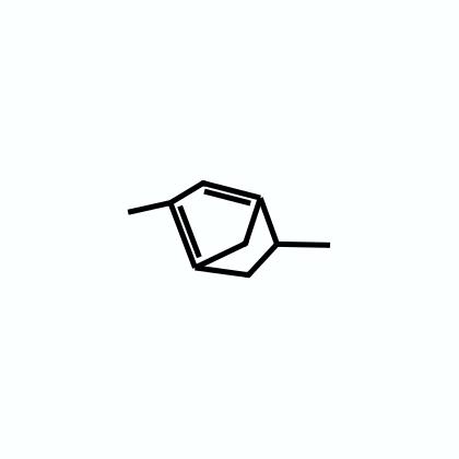 CC1=C2CC(=C1)C(C)C2